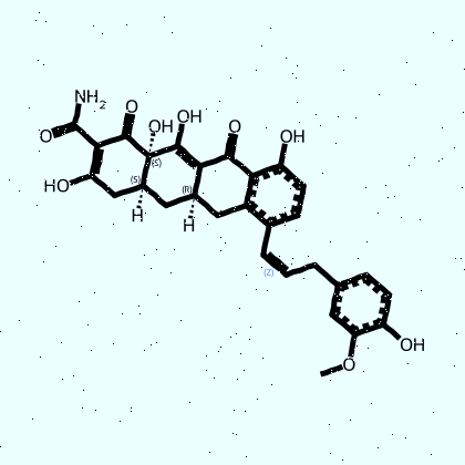 COc1cc(C/C=C\c2ccc(O)c3c2C[C@H]2C[C@H]4CC(O)=C(C(N)=O)C(=O)[C@@]4(O)C(O)=C2C3=O)ccc1O